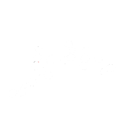 c1cc(-c2cccc3ccccc23)cc(-c2c3ccccc3c(-c3cc4ccc(-c5ccc(-c6cccc7ccccc67)c(-c6c7ccccc7c(-c7ccc8c(c7)sc7c9ccccc9ccc87)c7ccccc67)c5)cc4c4c3sc3ccccc34)c3ccccc23)c1